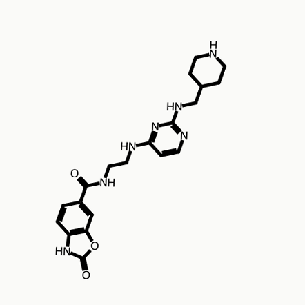 O=C(NCCNc1ccnc(NCC2CCNCC2)n1)c1ccc2[nH]c(=O)oc2c1